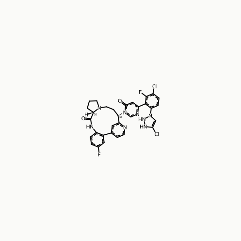 O=C1Nc2ccc(F)cc2-c2ccnc(c2)[C@@H](n2cnc(-c3c(N4C=C(Cl)NN4)ccc(Cl)c3F)cc2=O)CCN2CCC[C@@H]12